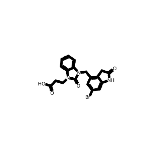 O=C(O)CCn1c(=O)n(Cc2cc(Br)cc3c2CC(=O)N3)c2ccccc21